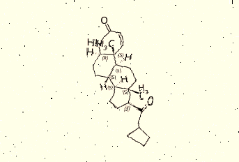 C[C@]12C=CC(=O)N[C@@H]1CC[C@@H]1[C@@H]2CC[C@]2(C)[C@@H](C(=O)C3CCC3)CC[C@@H]12